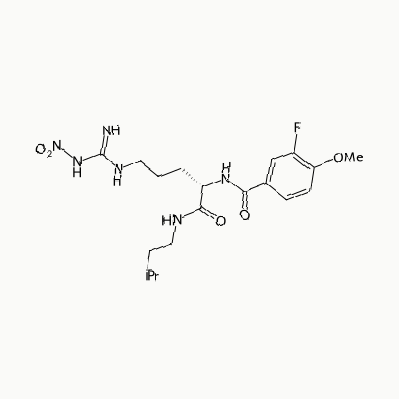 COc1ccc(C(=O)N[C@@H](CCCNC(=N)N[N+](=O)[O-])C(=O)NCCC(C)C)cc1F